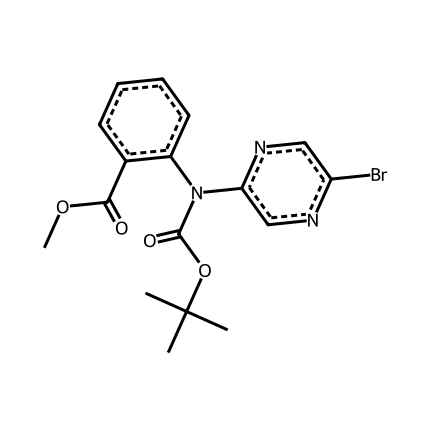 COC(=O)c1ccccc1N(C(=O)OC(C)(C)C)c1cnc(Br)cn1